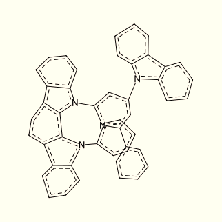 c1ccc(-c2cc(-n3c4ccccc4c4ccccc43)cc(-n3c4ccccc4c4ccc5c6ccccc6n(-c6ccccc6)c5c43)n2)cc1